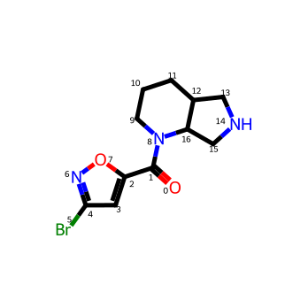 O=C(c1cc(Br)no1)N1CCCC2CNCC21